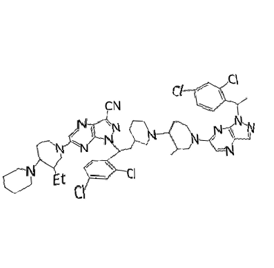 CCC1CN(c2cnc3c(C#N)nn(C(CC4CCCN(C5CCN(c6cnc7cnn(C(C)c8ccc(Cl)cc8Cl)c7n6)CC5C)C4)c4ccc(Cl)cc4Cl)c3n2)CCC1N1CCCCC1